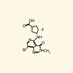 Cn1cnc2c(Br)cnc(N[C@@H]3CN(C(=O)O)C[C@@H]3F)c2c1=O